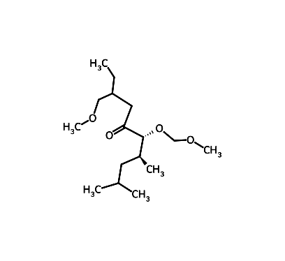 CCC(COC)CC(=O)[C@H](OCOC)[C@@H](C)CC(C)C